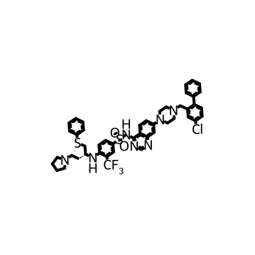 O=S(=O)(Nc1ncnc2cc(N3CCN(Cc4cc(Cl)ccc4-c4ccccc4)CC3)ccc12)c1ccc(N[C@H](CCN2CCCC2)CSc2ccccc2)c(C(F)(F)F)c1